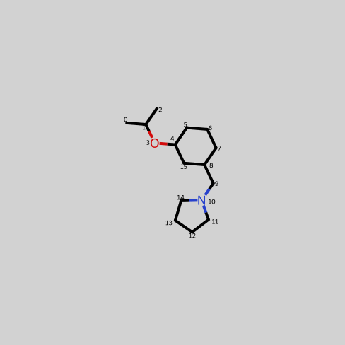 CC(C)OC1CCCC(CN2CCCC2)C1